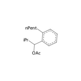 [CH2]CCCCc1ccccc1C(OC(C)=O)C(C)C